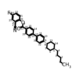 CCCCC[C@H]1CC[C@H](c2ccc(-c3ccc(C(=O)Oc4ccc(F)cc4C#N)cc3)cc2)CC1